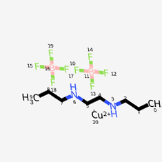 CCCNCCNCCC.F[B-](F)(F)F.F[B-](F)(F)F.[Cu+2]